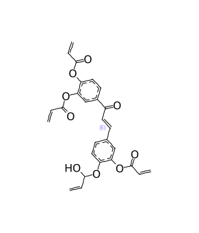 C=CC(=O)Oc1ccc(C(=O)/C=C/c2ccc(OC(O)C=C)c(OC(=O)C=C)c2)cc1OC(=O)C=C